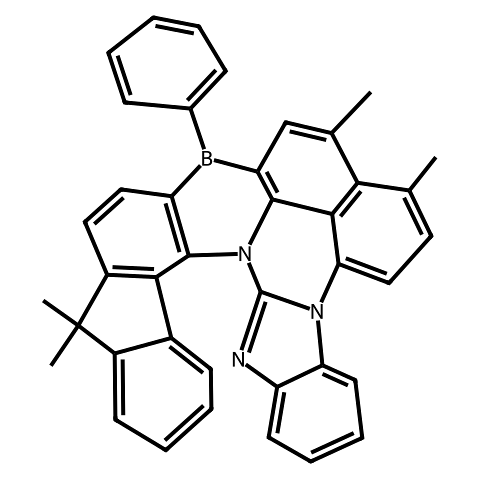 Cc1ccc2c3c1c(C)cc1c3n(c3nc4ccccc4n23)-c2c(ccc3c2-c2ccccc2C3(C)C)B1c1ccccc1